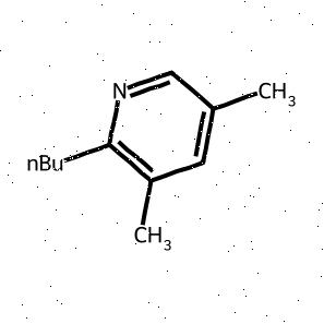 CCCCc1ncc(C)cc1C